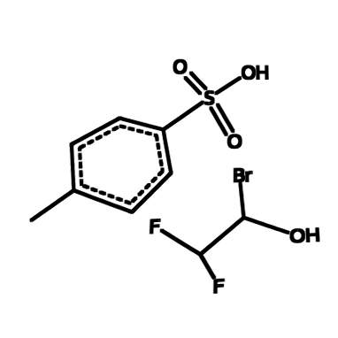 Cc1ccc(S(=O)(=O)O)cc1.OC(Br)C(F)F